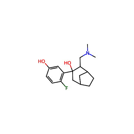 CN(C)CC1C2CCC(C2)CC1(O)c1cc(O)ccc1F